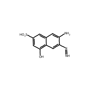 N=Nc1cc2c(O)cc(S(=O)(=O)O)cc2cc1N